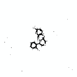 Fc1ccccc1C1COC/C(=N/c2ccc(Br)nc2Br)N1